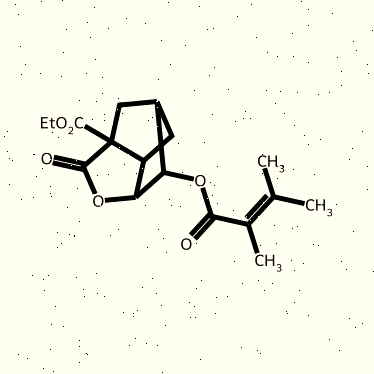 CCOC(=O)C12CC3CC1C(OC2=O)C3OC(=O)C(C)=C(C)C